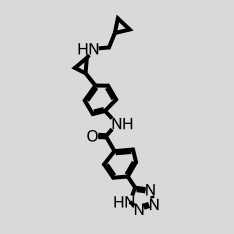 O=C(Nc1ccc(C2CC2NCC2CC2)cc1)c1ccc(-c2nnn[nH]2)cc1